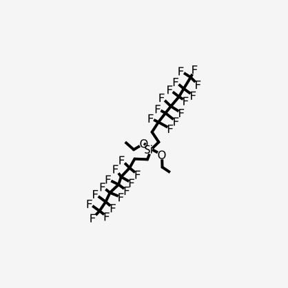 CCO[Si](CCC(F)(F)C(F)(F)C(F)(F)C(F)(F)C(F)(F)C(F)(F)F)(CCC(F)(F)C(F)(F)C(F)(F)C(F)(F)C(F)(F)C(F)(F)F)OCC